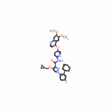 COc1cc2nccc(Oc3ccc(NC(=O)c4nn(-c5ccc(F)cc5-c5ccccc5)cc4OCC4CC4)nc3)c2cc1OC